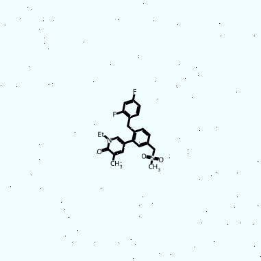 CCn1cc(-c2cc(CS(C)(=O)=O)ccc2Cc2ccc(F)cc2F)cc(C)c1=O